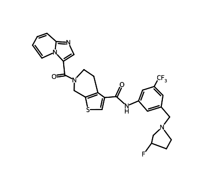 O=C(Nc1cc(CN2CCC(F)C2)cc(C(F)(F)F)c1)c1csc2c1CCN(C(=O)c1cnc3ccccn13)C2